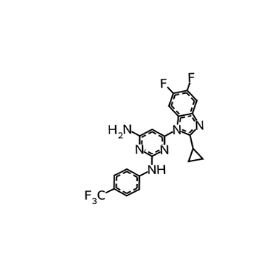 Nc1cc(-n2c(C3CC3)nc3cc(F)c(F)cc32)nc(Nc2ccc(C(F)(F)F)cc2)n1